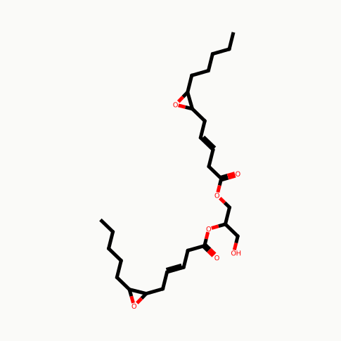 CCCCCC1OC1C/C=C/CC(=O)OCC(CO)OC(=O)C/C=C/CC1OC1CCCCC